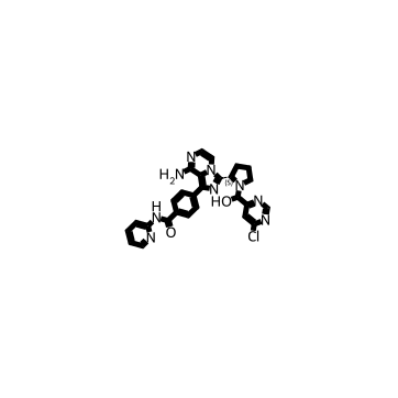 Nc1nccn2c([C@@H]3CCCN3C(O)c3cc(Cl)ncn3)nc(-c3ccc(C(=O)Nc4ccccn4)cc3)c12